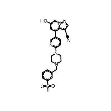 CS(=O)(=O)c1cccc(CN2CCN(c3ccc(-c4cc(O)cn5ncc(C#N)c45)cn3)CC2)c1